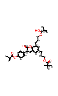 C=C(C)C(=O)Oc1ccc(-c2cc3cc(CCCOC(=O)C(C)(C)C)cc(CCCOC(O)C(=C)C)c3oc2=O)cc1